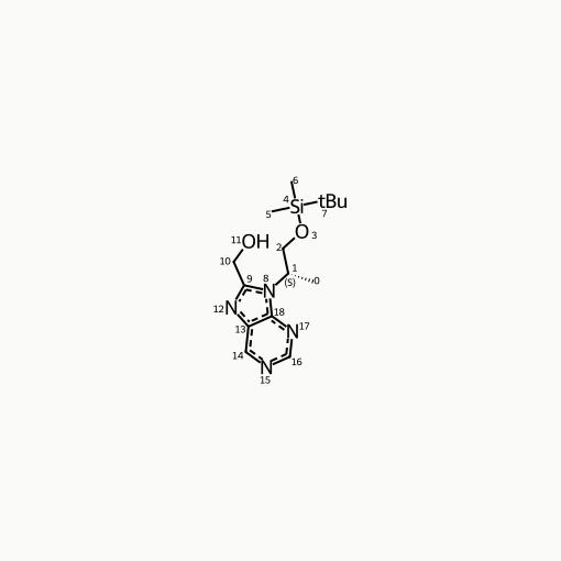 C[C@@H](CO[Si](C)(C)C(C)(C)C)n1c(CO)nc2cncnc21